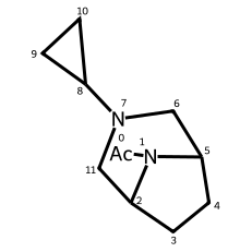 CC(=O)N1C2CCC1CN(C1CC1)C2